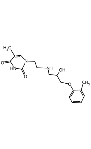 Cc1ccccc1OCC(O)CNCCn1cc(C)c(=O)[nH]c1=O